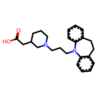 O=C(O)CC1CCCN(CCCN2c3ccccc3CCc3ccccc32)C1